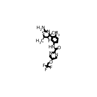 C[C@H]1SC(N)=N[C@](C)(c2cc(NC(=O)c3ncc(OCC(F)(F)F)cn3)ccc2F)[C@H]1F